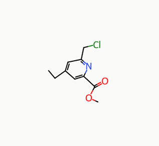 CCc1cc(CCl)nc(C(=O)OC)c1